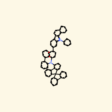 c1ccc(-c2ccccc2N(c2ccc(-c3ccc4c5ccc6ccccc6c5n(-c5ccccc5)c4c3)cc2)c2cccc3c2-c2ccccc2C32c3ccccc3-c3ccccc32)cc1